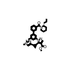 CCC[C@@H]1CCCCN1C(=O)c1cccc(-c2cc(C)cc(-n3ncc(C(=O)OC)c3C3CC3c3cn(C)nn3)c2)c1